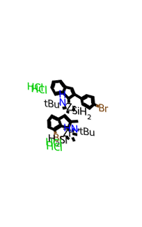 CC(C)(C)[NH][Zr]([CH3])([CH3])(=[SiH2])[CH]1C(c2ccc(Br)cc2)=Cc2ccccc21.CC1=Cc2cccc(Br)c2[CH]1[Zr]([CH3])([CH3])(=[SiH2])[NH]C(C)(C)C.Cl.Cl.Cl.Cl